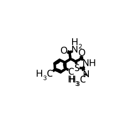 CN=C1NC(=O)C(C(C(N)=O)c2ccc(C)cc2C)S1